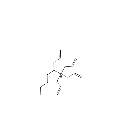 C=CCC(CCCC)[PH](CC=C)(CC=C)CC=C